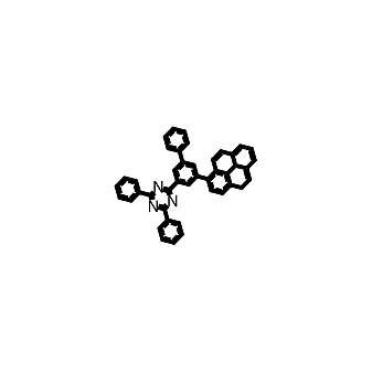 C1=CC2=CCc3ccc(-c4cc(-c5ccccc5)cc(-c5nc(-c6ccccc6)nc(-c6ccccc6)n5)c4)c4c3C2C(=C1)C=C4